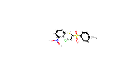 Cc1ccc(S(=O)(=O)C(CCl)Sc2cccc([N+](=O)[O-])c2)cc1